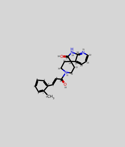 Cc1ccccc1/C=C/C(=O)N1CCC2(CC1)C(=O)Nc1ncccc12